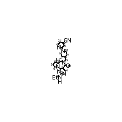 CCNc1ncc2c(n1)N1CCC[C@H]1CN(CC1CCN(c3cc(C#N)ccn3)CC1)C2=O